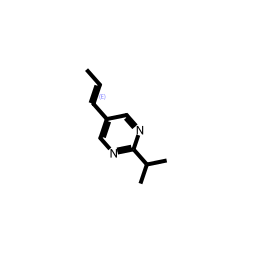 C/C=C/c1cnc(C(C)C)nc1